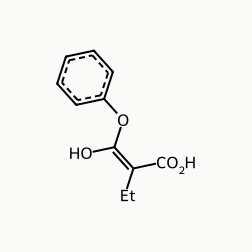 CCC(C(=O)O)=C(O)Oc1ccccc1